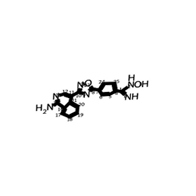 N=C(NO)c1ccc(-c2nc(-c3cnc(N)c4ccccc34)no2)cc1